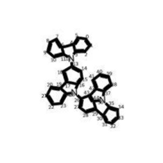 c1ccc2c(c1)c1ccccc1n2-c1ccc2c(c1)c1ccccc1n2-c1ccc2c3ccccc3n3c4ccccc4c1c23